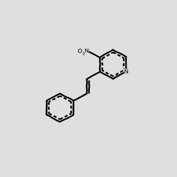 O=[N+]([O-])c1ccncc1C=Cc1ccccc1